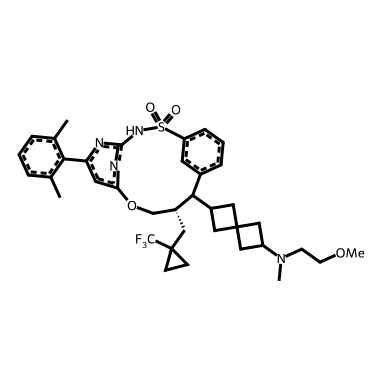 COCCN(C)C1CC2(CC(C3c4cccc(c4)S(=O)(=O)Nc4nc(cc(-c5c(C)cccc5C)n4)OC[C@H]3CC3(C(F)(F)F)CC3)C2)C1